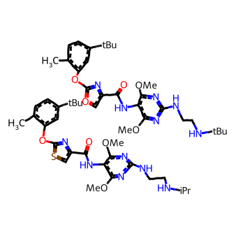 COc1nc(NCCNC(C)(C)C)nc(OC)c1NC(=O)c1coc(Oc2cc(C(C)(C)C)ccc2C)n1.COc1nc(NCCNC(C)C)nc(OC)c1NC(=O)c1csc(Oc2cc(C(C)(C)C)ccc2C)n1